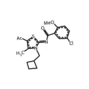 COc1ccc(Cl)cc1C(=O)/N=c1\sc(C(C)=O)c(C)n1CC1CCC1